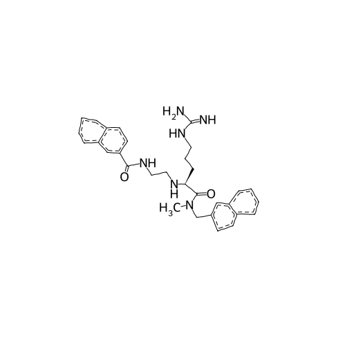 CN(Cc1ccc2ccccc2c1)C(=O)[C@H](CCCNC(=N)N)NCCNC(=O)c1ccc2ccccc2c1